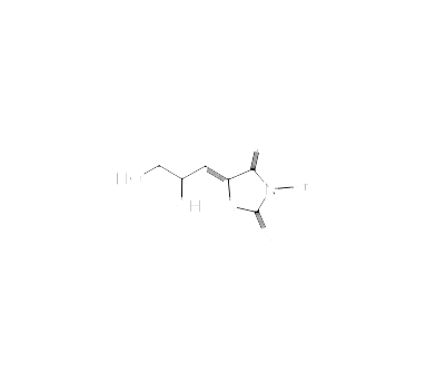 CCN1C(=O)/C(=C/C(O)CO)SC1=S